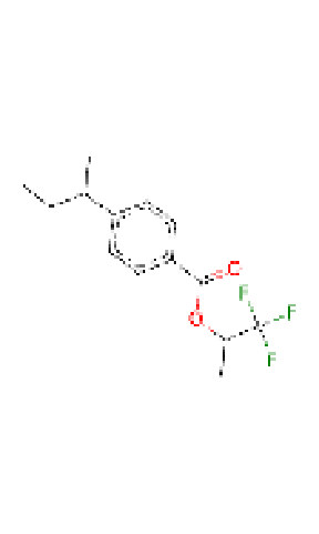 CCC(C)c1ccc(C(=O)OC(C)C(F)(F)F)cc1